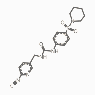 [C-]#[N+]c1ccc(CNC(=O)Nc2ccc(S(=O)(=O)N3CCCCC3)cc2)cn1